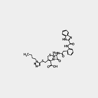 CCCCn1nncc1SCC1=C(C(=O)O)N2C(=O)C(NC(=O)Cc3ccccc3NC(=O)c3nc4ccccc4[nH]3)[C@H]2SC1